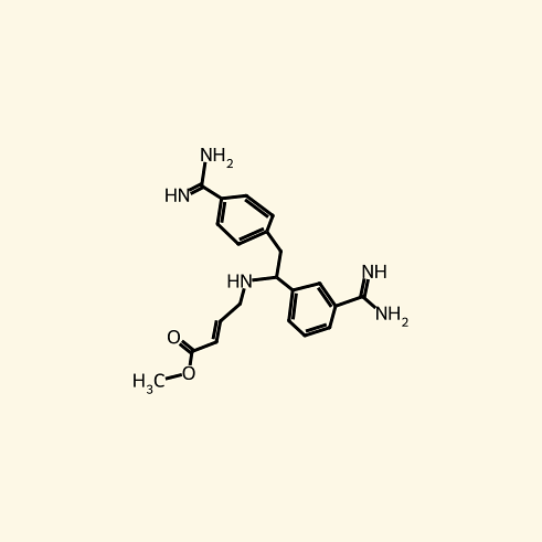 COC(=O)C=CCNC(Cc1ccc(C(=N)N)cc1)c1cccc(C(=N)N)c1